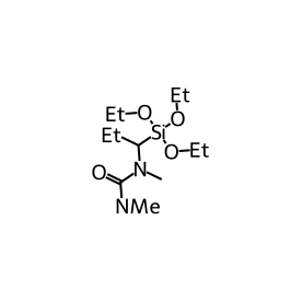 CCO[Si](OCC)(OCC)C(CC)N(C)C(=O)NC